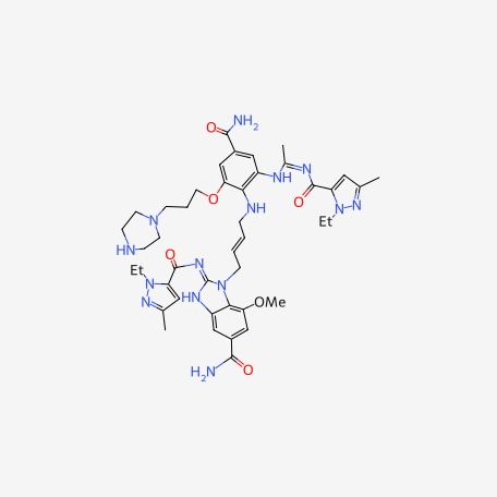 CCn1nc(C)cc1C(=O)/N=C(/C)Nc1cc(C(N)=O)cc(OCCCN2CCNCC2)c1NC/C=C/Cn1/c(=N/C(=O)c2cc(C)nn2CC)[nH]c2cc(C(N)=O)cc(OC)c21